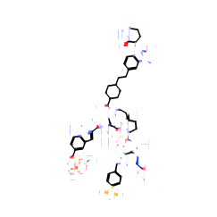 CCOP(=O)(OCC)C(=O)c1ccc2[nH]c(C(=O)N[C@H]3CN(C(=O)C4CCC(CCc5ccc6c(c5)n(C)c(=O)n6C5CCC(=O)NC5=O)CC4)CC[C@H]4CC[C@@H](C(=O)N[C@@H](CCC(N)=O)C(=O)NCc5ccc(S(C)(=O)=O)cc5)N4C3=O)cc2c1